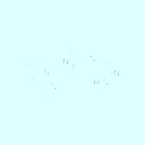 Nc1cc(CN2CCC(F)(C(=O)N3CCC(N4c5ccccc5Sc5cccnc54)CC3)CC2)ccn1